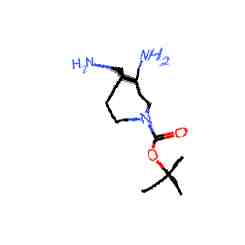 CC(C)(C)OC(=O)N1CCC(N)C(N)C1